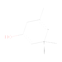 CC1=CC(C)(C)C=C(O)C1